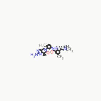 CNc1c(CCN(C)C)cc(C(F)(F)F)cc1C(=O)Nc1ccc(C)c(N2Cc3cnc(N)nc3C3(CC3)C2=O)c1